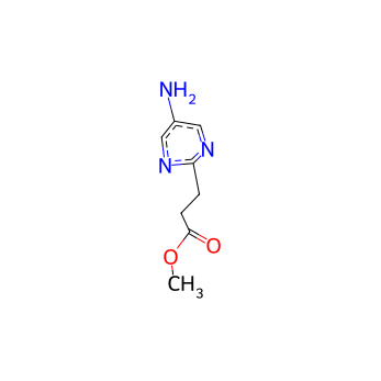 COC(=O)CCc1ncc(N)cn1